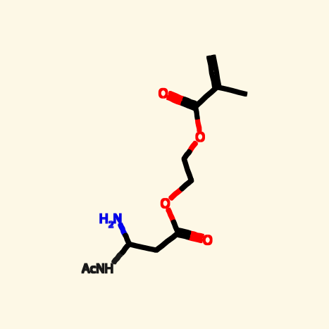 C=C(C)C(=O)OCCOC(=O)CC(N)NC(C)=O